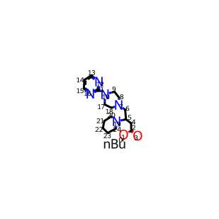 CCCCOC(=O)CC(CN1CCN(c2ncccn2)CC1)N1CCCCC1